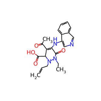 C=CCN1C(C(=O)O)C(C(C)=O)=C(Nc2cncc3ccccc23)C(=O)N1CC